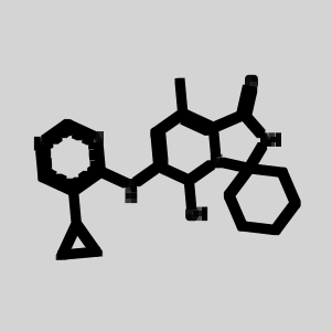 CC1=C2C(=O)NC3(CCCCC3)N2C(O)C(Nc2ncncc2C2CC2)=C1